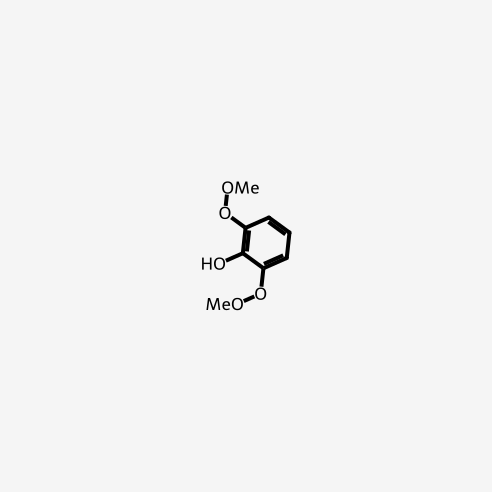 COOc1cccc(OOC)c1O